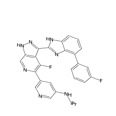 CC(C)Nc1cncc(-c2ncc3[nH]nc(-c4nc5c(-c6cccc(F)c6)cccc5[nH]4)c3c2F)c1